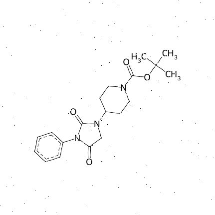 CC(C)(C)OC(=O)N1CCC(N2CC(=O)N(c3ccccc3)C2=O)CC1